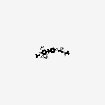 C=C(C)C(=O)OCC(O)COc1ccc(C(C)(C)c2cc(OCC)c(OC(=O)C(=C)C)c(OCC)c2OCC)cc1